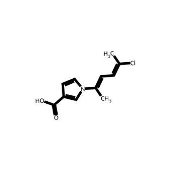 C/C(Cl)=C\C=C(/C)n1ccc(C(=O)O)c1